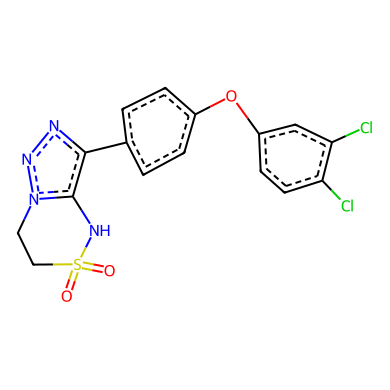 O=S1(=O)CCn2nnc(-c3ccc(Oc4ccc(Cl)c(Cl)c4)cc3)c2N1